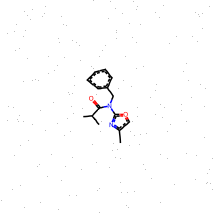 Cc1coc(N(Cc2ccccc2)C(=O)C(C)C)n1